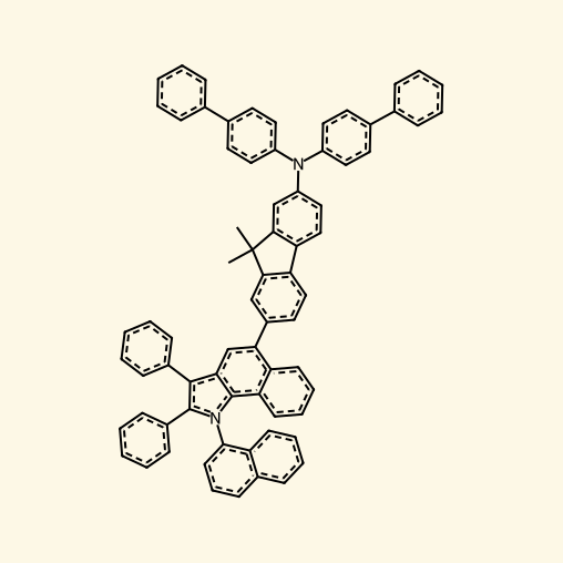 CC1(C)c2cc(-c3cc4c(-c5ccccc5)c(-c5ccccc5)n(-c5cccc6ccccc56)c4c4ccccc34)ccc2-c2ccc(N(c3ccc(-c4ccccc4)cc3)c3ccc(-c4ccccc4)cc3)cc21